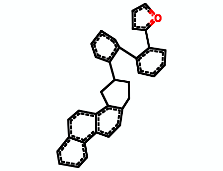 c1coc(-c2ccccc2-c2ccccc2C2CCc3ccc4c(ccc5ccccc54)c3C2)c1